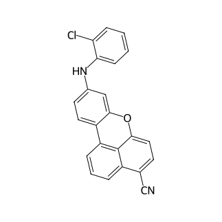 N#Cc1ccc2c3c(cccc13)-c1ccc(Nc3ccccc3Cl)cc1O2